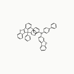 c1ccc(-c2ccc(N(c3ccc(-c4cccc5c4C(c4ccccc4)(c4ccccc4)c4c-5sc5ccccc45)cc3)c3ccc4c(c3)oc3ccccc34)cc2)cc1